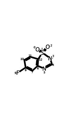 O=S1(=O)[N]C=Nc2cc(F)ccc21